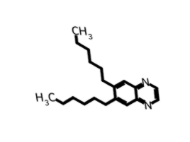 CCCCCCc1cc2nccnc2cc1CCCCCC